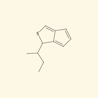 CCC(C)[C]1SC=C2C=CC=C12